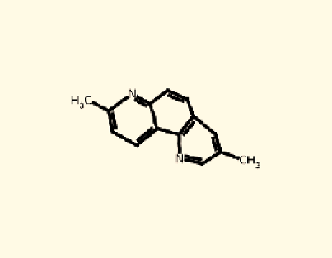 Cc1cnc2c(ccc3nc(C)ccc32)c1